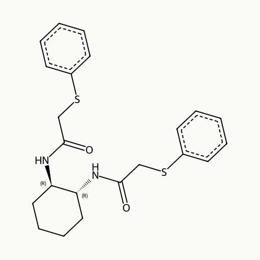 O=C(CSc1ccccc1)N[C@@H]1CCCC[C@H]1NC(=O)CSc1ccccc1